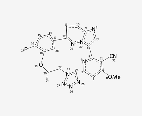 COc1ccnc(-c2cnc3ccc(-c4ccc(F)c(O[C@@H](C)Cn5cnnn5)c4)nn23)c1C#N